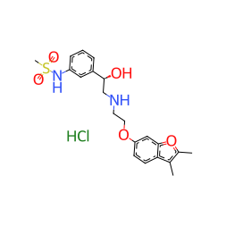 Cc1oc2cc(OCCNC[C@H](O)c3cccc(NS(C)(=O)=O)c3)ccc2c1C.Cl